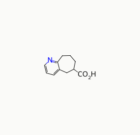 O=C(O)C1CCCc2ncccc2C1